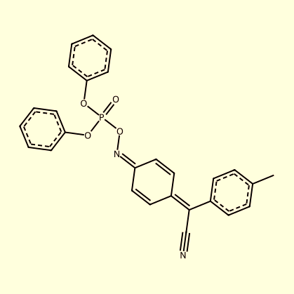 Cc1ccc(C(C#N)=C2C=CC(=NOP(=O)(Oc3ccccc3)Oc3ccccc3)C=C2)cc1